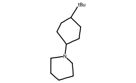 CC(C)(C)C1CCC(N2CCCCC2)CC1